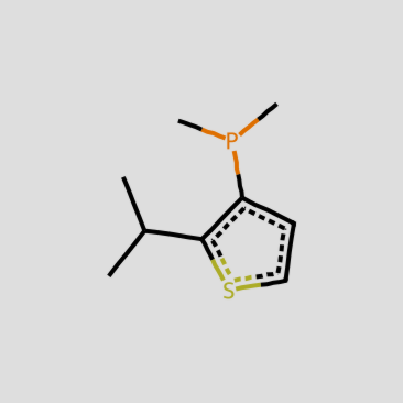 CC(C)c1sccc1P(C)C